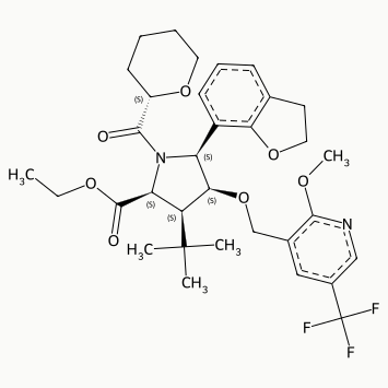 CCOC(=O)[C@@H]1[C@H](C(C)(C)C)[C@H](OCc2cc(C(F)(F)F)cnc2OC)[C@H](c2cccc3c2OCC3)N1C(=O)[C@@H]1CCCCO1